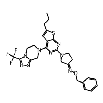 CCCc1cc2c(N3CCn4c(nnc4C(F)(F)F)C3)nc(N3CC/C(=N\OCc4ccccc4)C3)nc2s1